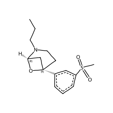 CCCN1CC[C@]2(c3cccc(S(C)(=O)=O)c3)C[C@H]1O2